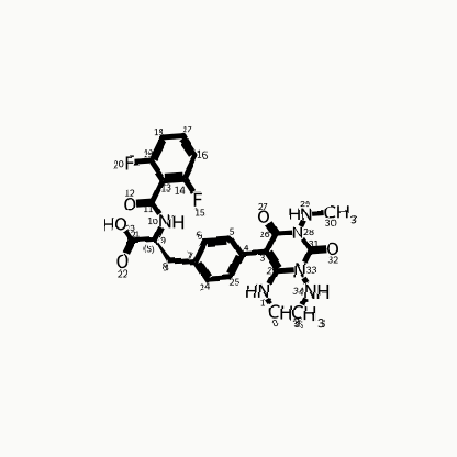 CNc1c(-c2ccc(C[C@H](NC(=O)c3c(F)cccc3F)C(=O)O)cc2)c(=O)n(NC)c(=O)n1NC